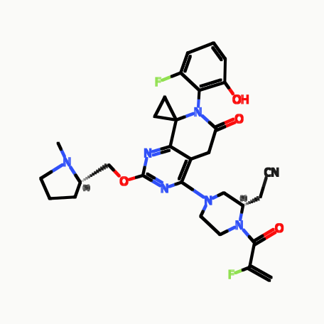 C=C(F)C(=O)N1CCN(c2nc(OC[C@@H]3CCCN3C)nc3c2CC(=O)N(c2c(O)cccc2F)C32CC2)C[C@@H]1CC#N